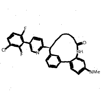 CNc1ccc2c(c1)NC(=O)CCCC[C@H](c1ccc(-c3c(F)ccc(Cl)c3F)cn1)c1cccc-2c1